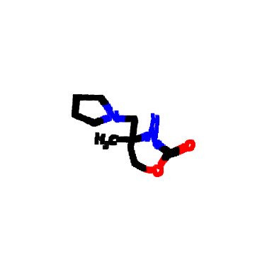 CC1(CN2CCCC2)COC(=O)N1